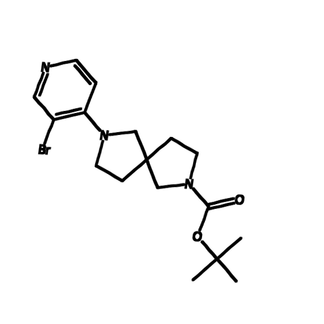 CC(C)(C)OC(=O)N1CCC2(CCN(c3ccncc3Br)C2)C1